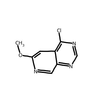 COc1cc2c(Cl)ncnc2cn1